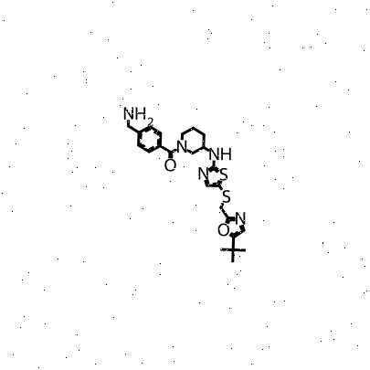 CC(C)(C)c1cnc(CSc2cnc(NC3CCCN(C(=O)c4ccc(CN)cc4)C3)s2)o1